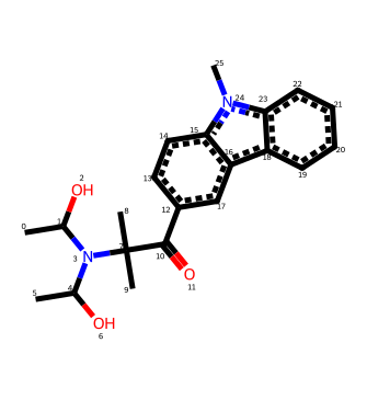 CC(O)N(C(C)O)C(C)(C)C(=O)c1ccc2c(c1)c1ccccc1n2C